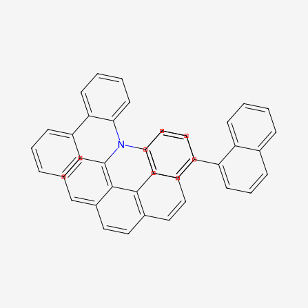 c1ccc(-c2ccccc2N(c2ccc(-c3cccc4ccccc34)cc2)c2cccc3ccc4ccc5ccccc5c4c23)cc1